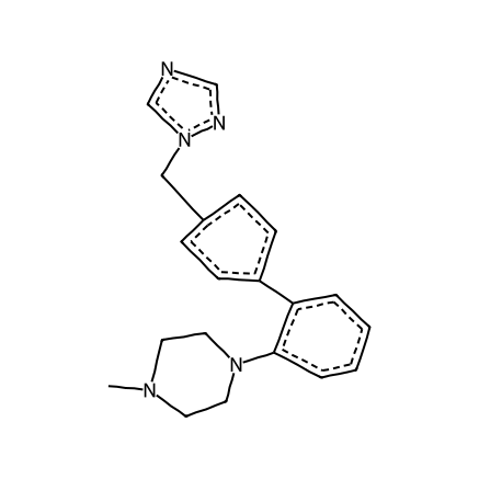 CN1CCN(c2ccccc2-c2ccc(Cn3cncn3)cc2)CC1